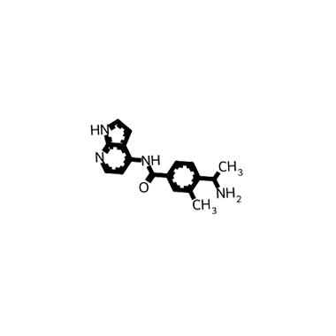 Cc1cc(C(=O)Nc2ccnc3[nH]ccc23)ccc1C(C)N